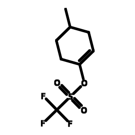 CC1CC=C(OS(=O)(=O)C(F)(F)F)CC1